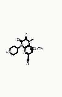 Cl.Cl.Cn1c(=O)c(=O)n(C2CCNCC2)c2nc(C#N)ccc21